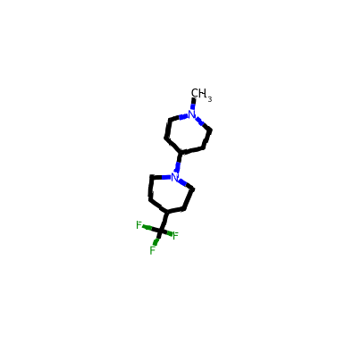 CN1CCC(N2CCC(C(F)(F)F)CC2)CC1